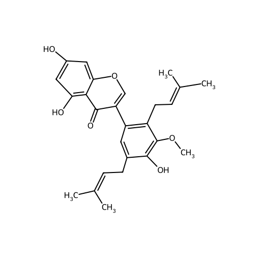 COc1c(O)c(CC=C(C)C)cc(-c2coc3cc(O)cc(O)c3c2=O)c1CC=C(C)C